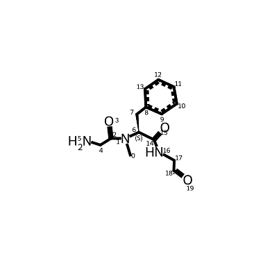 CN(C(=O)CN)[C@@H](Cc1ccccc1)C(=O)NC[C]=O